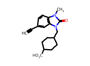 C#Cc1ccc2c(c1)n(CC1CCC(C(=O)O)CC1)c(=O)n2C